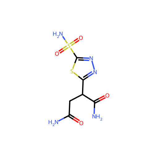 NC(=O)CC(C(N)=O)c1nnc(S(N)(=O)=O)s1